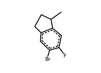 CC1CCc2cc(Br)c(F)cc21